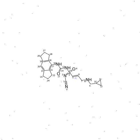 N#CN=S(=O)(/C=C/CNCC1CC1)NC(=O)Nc1c2c(cc3c1CCC3)CCC2